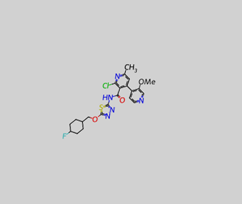 COc1cnccc1-c1cc(C)nc(Cl)c1C(=O)Nc1nnc(OCC2CCC(F)CC2)s1